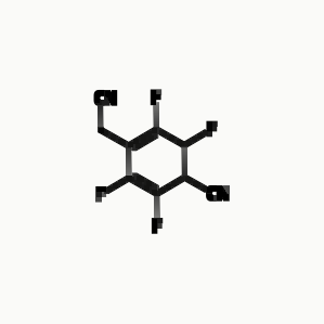 N#CCC1=C(F)C(F)C(C#N)C(F)=C1F